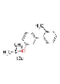 Cc1ccccc1-c1cccc(O[Si](C)(C)C(C)(C)C)c1